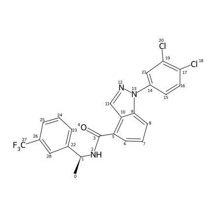 C[C@H](NC(=O)c1cccc2c1cnn2-c1ccc(Cl)c(Cl)c1)c1cccc(C(F)(F)F)c1